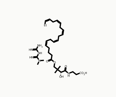 CC/C=C\C/C=C\C/C=C\C/C=C\C/C=C\CCCC(=O)OCC(C)(C)[C@@H](O)C(=O)NCCC(=O)O.CN(C)C(=N)NC(=N)N